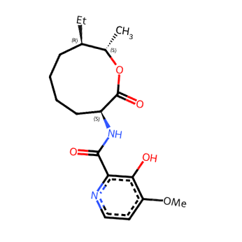 CC[C@@H]1CCCC[C@H](NC(=O)c2nccc(OC)c2O)C(=O)O[C@H]1C